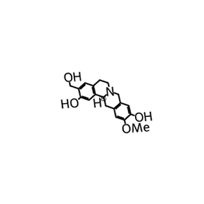 COc1cc2c(cc1O)CN1CCc3cc(CO)c(O)cc3[C@@H]1C2